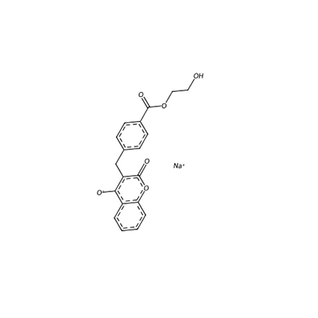 O=C(OCCO)c1ccc(Cc2c([O-])c3ccccc3oc2=O)cc1.[Na+]